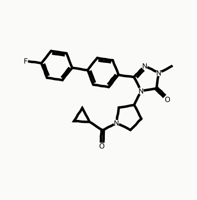 Cn1nc(-c2ccc(-c3ccc(F)cc3)cc2)n(C2CCN(C(=O)C3CC3)C2)c1=O